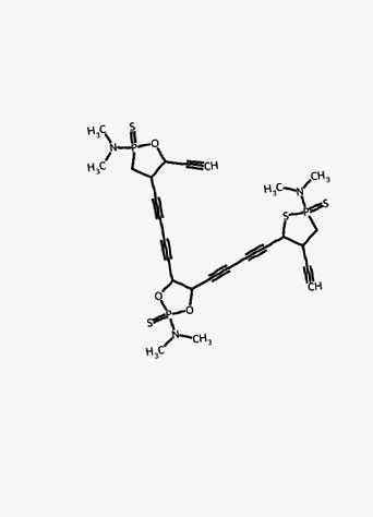 C#CC1CP(=S)(N(C)C)SC1C#CC#CC1OP(=S)(N(C)C)OC1C#CC#CC1CP(=S)(N(C)C)OC1C#C